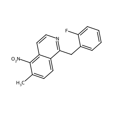 Cc1ccc2c(Cc3ccccc3F)nccc2c1[N+](=O)[O-]